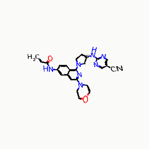 C=CC(=O)Nc1ccc2c(N3CC[C@@H](Nc4ncc(C#N)cn4)C3)nc(N3CCOCC3)cc2c1